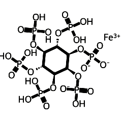 O=P([O-])([O-])O[C@H]1[C@@H](OP(=O)([O-])O)[C@@H](OP(=O)(O)O)[C@H](OP(=O)(O)O)[C@@H](OP(=O)(O)O)[C@@H]1OP(=O)(O)O.[Fe+3]